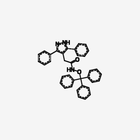 O=C(Cc1c(-c2ccccc2)n[nH]c1-c1ccccc1)NOC(c1ccccc1)(c1ccccc1)c1ccccc1